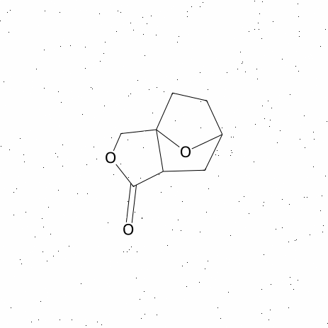 O=C1OCC23CCC(CC12)O3